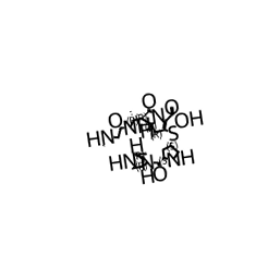 CNCC(=O)N[C@H](C)[C@H]1C(=O)N2C(C(=O)O)=C(S[C@@H]3CN[C@H](C(=O)N4C[C@H]5C[C@@H]4CN5)C3)[C@H](C)[C@H]12